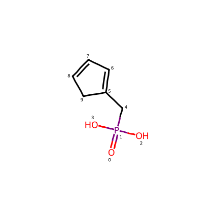 O=P(O)(O)CC1=CC=CC1